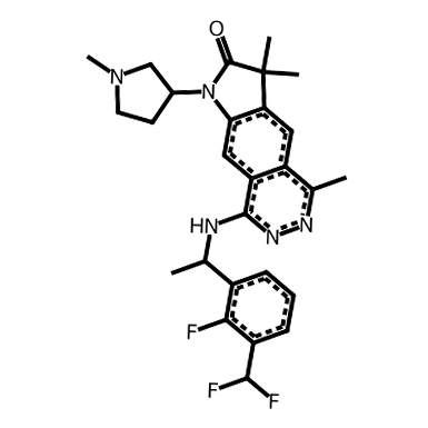 Cc1nnc(NC(C)c2cccc(C(F)F)c2F)c2cc3c(cc12)C(C)(C)C(=O)N3C1CCN(C)C1